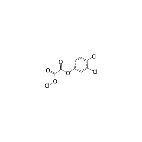 O=C(OCl)C(=O)Oc1ccc(Cl)c(Cl)c1